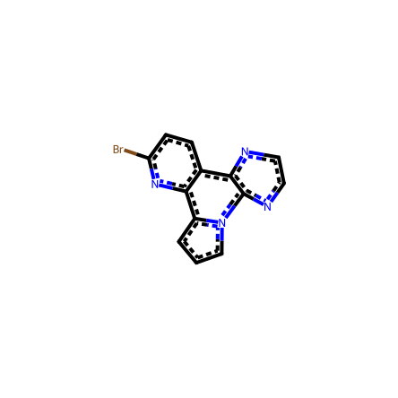 Brc1ccc2c(n1)c1cccn1c1nccnc21